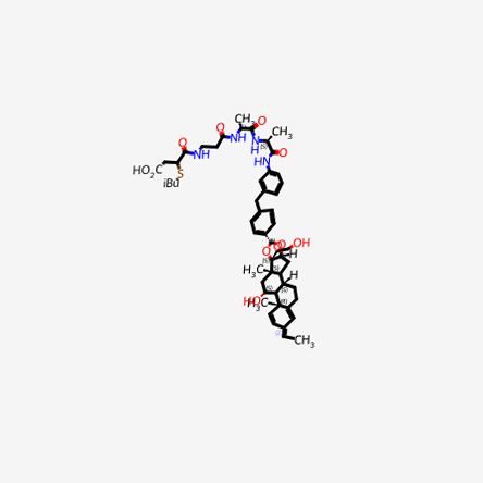 C/C=C1/C=C[C@@]2(C)C(=C1)CC[C@@H]1C2[C@@H](O)C[C@@]2(C)C1C[C@H]1O[C@@H](c3ccc(Cc4cccc(NC(=O)[C@H](C)NC(=O)[C@H](C)NC(=O)CCNC(=O)C(CC(=O)O)SC(C)CC)c4)cc3)O[C@]12C(=O)CO